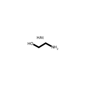 NCCO.[AtH]